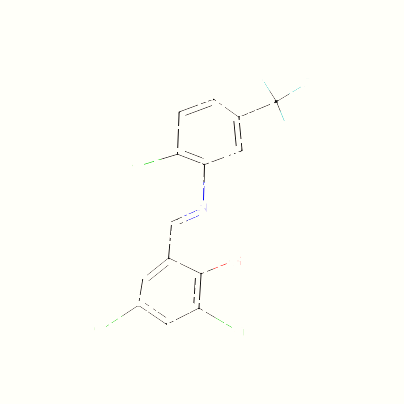 Oc1c(Cl)cc(Cl)cc1C=Nc1cc(C(F)(F)F)ccc1Cl